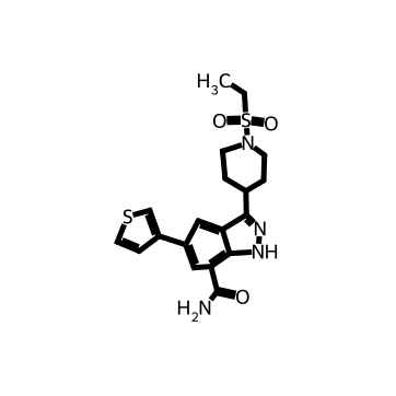 CCS(=O)(=O)N1CCC(c2n[nH]c3c(C(N)=O)cc(-c4ccsc4)cc23)CC1